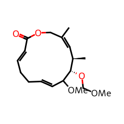 COCO[C@@H]1C(OC)/C=C/CC/C=C/C(=O)OC/C(C)=C\[C@H]1C